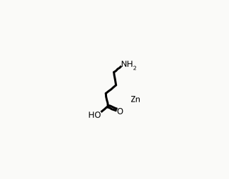 NCCCC(=O)O.[Zn]